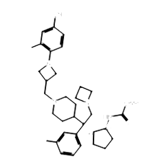 COC(=O)N[C@H]1CCC[C@@H]1C(CN1CCC1)(c1cccc(F)c1)C1CCN(CC2CN(c3ccc(C#N)cc3F)C2)CC1